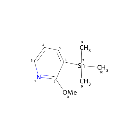 COc1nccc[c]1[Sn]([CH3])([CH3])[CH3]